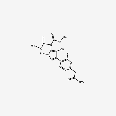 COC(=O)Cc1ccc(-c2nn(C(C)C)c(N(C(=O)OC(C)(C)C)C(=O)OC(C)(C)C)c2C#N)c(F)c1